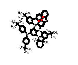 CC(C)(C)c1ccc(N(c2ccc(C(C)(C)C)cc2)c2cc3c4c(c2)N2c5c(cc(C(C)(C)C)cc5C5(C)CCCCC25C)B4c2cc4oc5ccccc5c4cc2N3c2ccc(C(C)(C)C)cc2-c2ccccc2)cc1